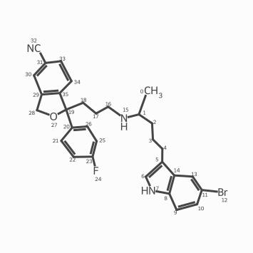 CC(CCCc1c[nH]c2ccc(Br)cc12)NCCCC1(c2ccc(F)cc2)OCc2cc(C#N)ccc21